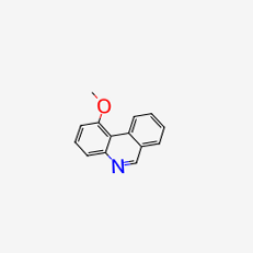 COc1cccc2ncc3ccccc3c12